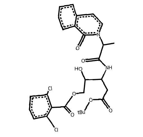 CC(C(=O)NC(CC(=O)OC(C)(C)C)C(O)COC(=O)c1c(Cl)cccc1Cl)n1ccc2ccccc2c1=O